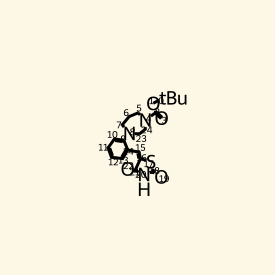 CC(C)(C)OC(=O)N1CCCN(c2ccccc2C=C2SC(=O)NC2=O)CC1